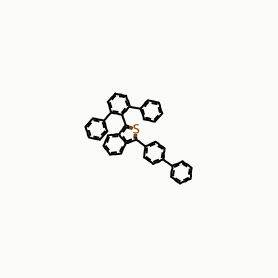 c1ccc(-c2ccc(-c3sc(-c4c(-c5ccccc5)cccc4-c4ccccc4)c4ccccc34)cc2)cc1